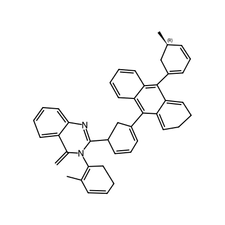 C=C1c2ccccc2N=C(C2C=CC=C(c3c4c(c(C5=CC=C[C@H](C)C5)c5ccccc35)=CCCC=4)C2)N1C1=C(C)C=CCC1